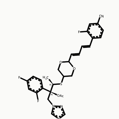 CC(=O)O[C@@](Cn1cncn1)(c1ccc(F)cc1F)[C@@H](C)SC1COC(C=CC=Cc2ccc(C#N)cc2F)OC1